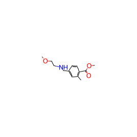 COCCNCc1ccc(C(=O)OC)c(C)c1